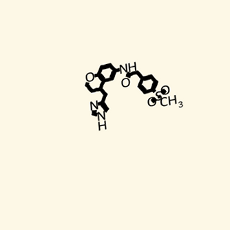 CS(=O)(=O)c1ccc(CC(=O)Nc2ccc3c(c2)C(Cc2c[nH]cn2)CCO3)cc1